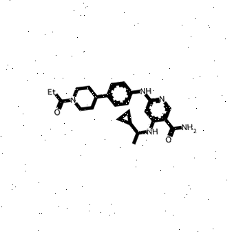 CCC(=O)N1CCC(c2ccc(Nc3cc(NC(C)C4CC4)c(C(N)=O)cn3)cc2)CC1